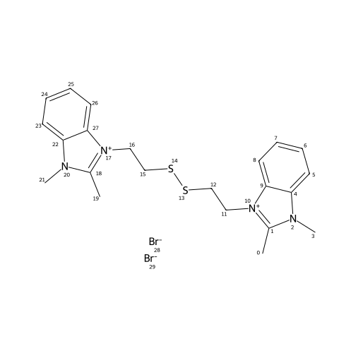 Cc1n(C)c2ccccc2[n+]1CCSSCC[n+]1c(C)n(C)c2ccccc21.[Br-].[Br-]